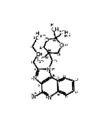 CCOCc1nc2c(Br)nc3ccccc3c2n1CC1(C)COC(C)(C)OC1